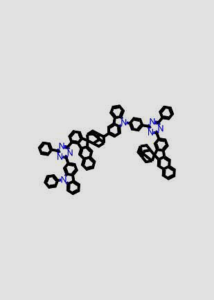 c1ccc(-c2nc(-c3ccc(-n4c5ccccc5c5cc(C6C7CC8CC6CC(C7)C86c7cc8ccccc8cc7-c7c(-c8nc(-c9ccccc9)nc(-c9ccc%10c%11ccccc%11n(-c%11ccccc%11)c%10c9)n8)cccc76)ccc54)cc3)nc(-c3ccc4c(c3)C3(c5cc6ccccc6cc5-4)C4CC5CC(C4)CC3C5)n2)cc1